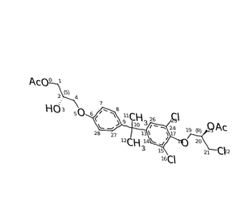 CC(=O)OC[C@@H](O)COc1ccc(C(C)(C)c2cc(Cl)c(OC[C@H](CCl)OC(C)=O)c(Cl)c2)cc1